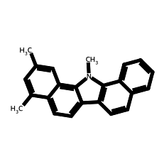 Cc1cc(C)c2ccc3c4ccc5ccccc5c4n(C)c3c2c1